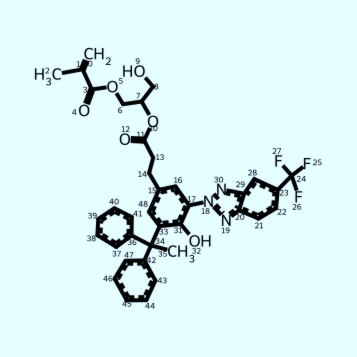 C=C(C)C(=O)OCC(CO)OC(=O)CCc1cc(-n2nc3ccc(C(F)(F)F)cc3n2)c(O)c(C(C)(c2ccccc2)c2ccccc2)c1